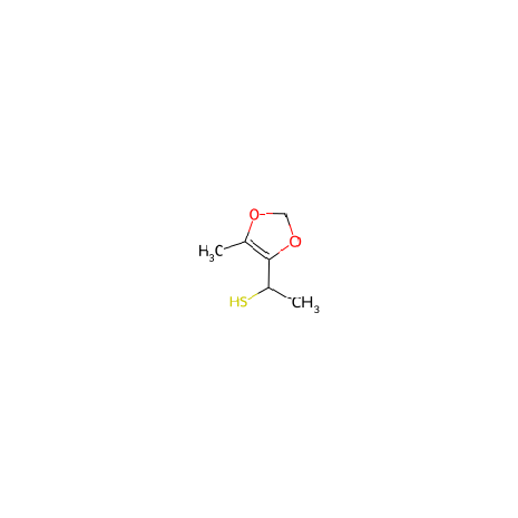 CC1=C(C(C)S)OCO1